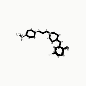 CCN[C@H]1CC[C@@H](CCCN2CCC(Cc3cc(F)ccc3Br)CC2)CC1